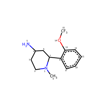 CN1CCC(N)CC1c1ccccc1OC(F)(F)F